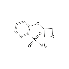 NS(=O)(=O)c1ncccc1OC1COC1